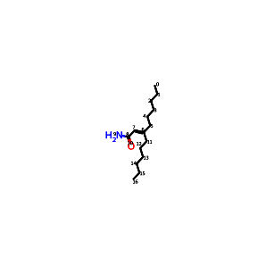 CCCCCCC(=CC(N)=O)CCCCCC